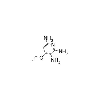 CCOc1cc(N)nc(N)c1N